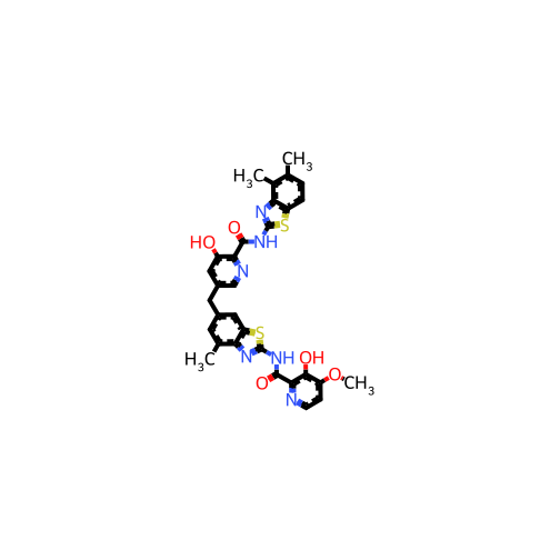 COc1ccnc(C(=O)Nc2nc3c(C)cc(Cc4cnc(C(=O)Nc5nc6c(C)c(C)ccc6s5)c(O)c4)cc3s2)c1O